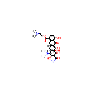 CN(C)CCOC(=O)c1ccc(O)c2c1C[C@H]1C[C@H]3[C@H](N(C)C)C(O)=C(C(N)=O)C(=O)[C@@]3(O)C(O)=C1C2=O